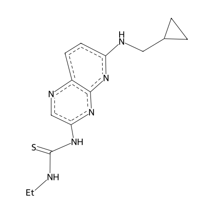 CCNC(=S)Nc1cnc2ccc(NCC3CC3)nc2n1